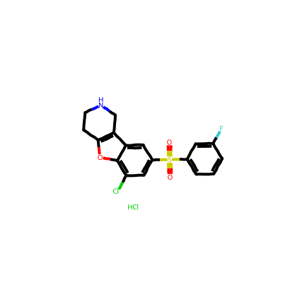 Cl.O=S(=O)(c1cccc(F)c1)c1cc(Cl)c2oc3c(c2c1)CNCC3